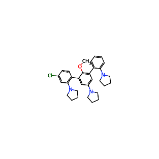 COc1c(-c2ccccc2N2CCCC2)cc(N2CCCC2)cc1-c1ccc(Cl)cc1N1CCCC1